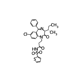 CC[C@H](C)[C@@H]1N=C(c2ccccc2)c2cc(Cl)ccc2N(CCC(=O)NS(=O)(=O)c2cccs2)C1=O